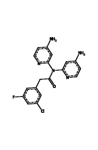 Nc1ccnc(N(C(=O)Cc2cc(F)cc(Cl)c2)c2cc(N)ccn2)c1